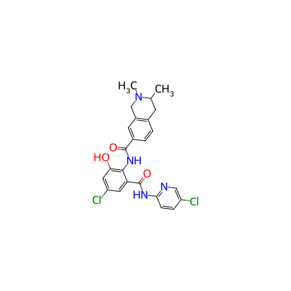 CC1Cc2ccc(C(=O)Nc3c(O)cc(Cl)cc3C(=O)Nc3ccc(Cl)cn3)cc2CN1C